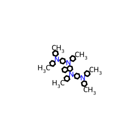 Cc1ccc(N(c2ccc(C)cc2)c2ccc(N(c3ccc(C)cc3)c3ccc(N(c4ccc(C)cc4)c4ccc(N(c5ccc(C)cc5)c5ccc(C)cc5)cc4)c4ccccc34)cc2)cc1